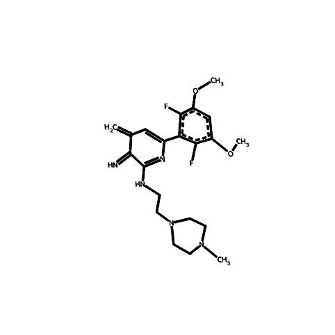 C=C1C=C(c2c(F)c(OC)cc(OC)c2F)N=C(NCCN2CCN(C)CC2)C1=N